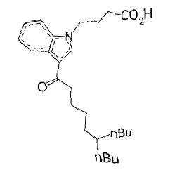 CCCCC(CCCC)CCCCC(=O)c1cn(CCCC(=O)O)c2ccccc12